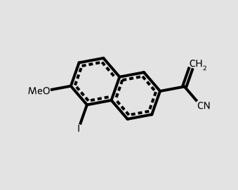 C=C(C#N)c1ccc2c(I)c(OC)ccc2c1